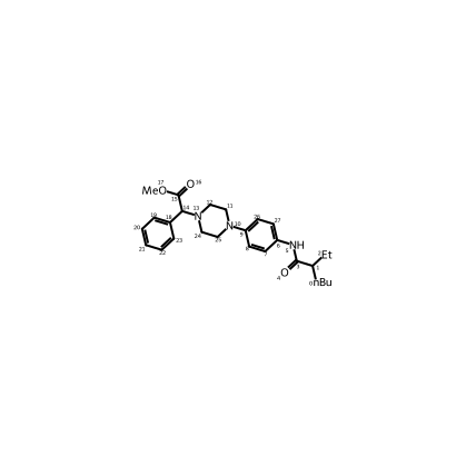 CCCCC(CC)C(=O)Nc1ccc(N2CCN(C(C(=O)OC)c3ccccc3)CC2)cc1